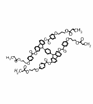 C=CC(=O)OCCCOc1ccc(C(=O)Oc2ccc3c(c2)C(c2ccc(C4c5cc(OC(=O)c6ccc(OCCCOC(=O)C=C)cc6)ccc5-c5ccc(OC(=O)c6ccc(OCCCOC(=O)C=C)cc6)cc54)cc2)c2cc(OC(=O)c4ccc(OCCCOC(=O)C=C)cc4)ccc2-3)cc1